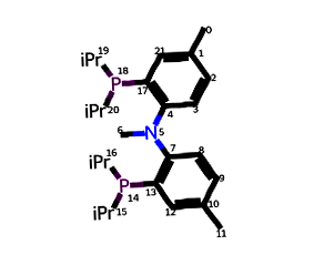 Cc1ccc(N(C)c2ccc(C)cc2P(C(C)C)C(C)C)c(P(C(C)C)C(C)C)c1